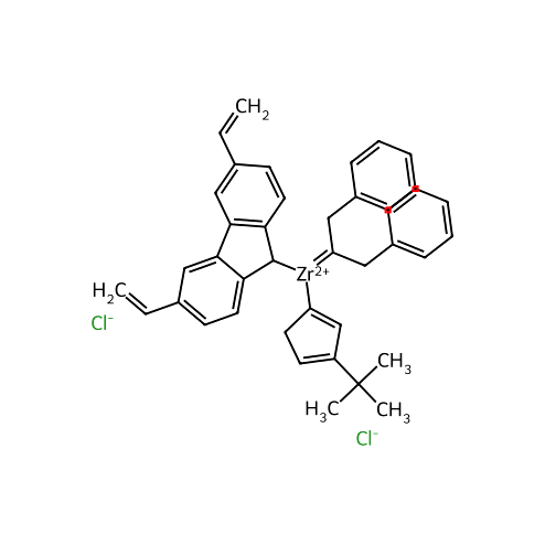 C=Cc1ccc2c(c1)-c1cc(C=C)ccc1[CH]2[Zr+2]([C]1=CC(C(C)(C)C)=CC1)=[C](Cc1ccccc1)Cc1ccccc1.[Cl-].[Cl-]